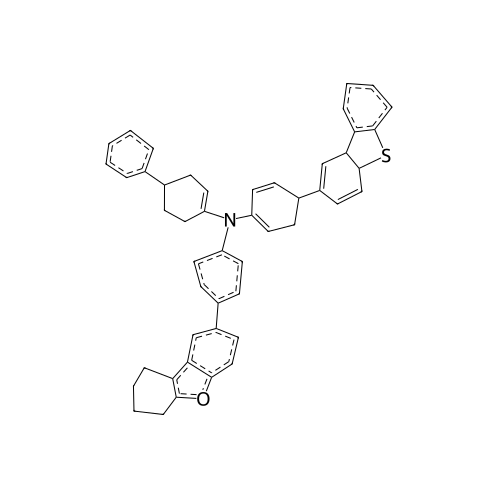 C1=CC2Sc3ccccc3C2C=C1C1C=CC(N(C2=CCC(c3ccccc3)CC2)c2ccc(-c3ccc4oc5c(c4c3)CCCC5)cc2)=CC1